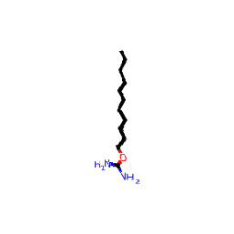 CCCCCCCCCCCOC(N)N